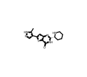 Cc1[nH]ncc1-c1cc2nc([C@H]3CCCCN3)[nH]c(=O)c2s1